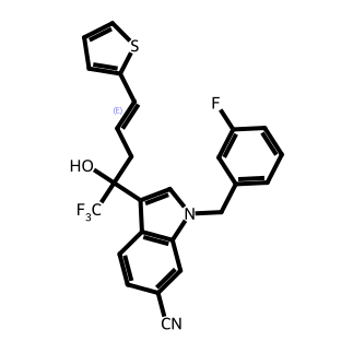 N#Cc1ccc2c(C(O)(C/C=C/c3cccs3)C(F)(F)F)cn(Cc3cccc(F)c3)c2c1